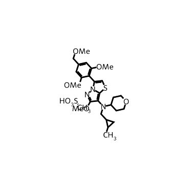 COCc1cc(OC)c(-c2csc3c(N(CC4CC4C)C4CCOCC4)c(OC)nn23)c(OC)c1.CS(=O)(=O)O